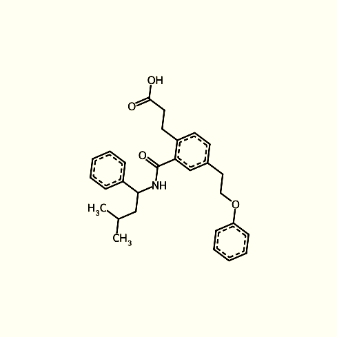 CC(C)CC(NC(=O)c1cc(CCOc2ccccc2)ccc1CCC(=O)O)c1ccccc1